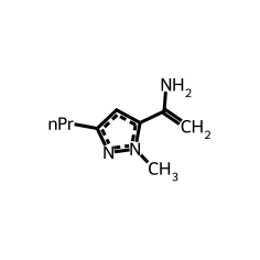 C=C(N)c1cc(CCC)nn1C